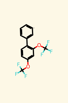 FC(F)(F)Oc1ccc(-c2c[c]ccc2)c(OC(F)(F)F)c1